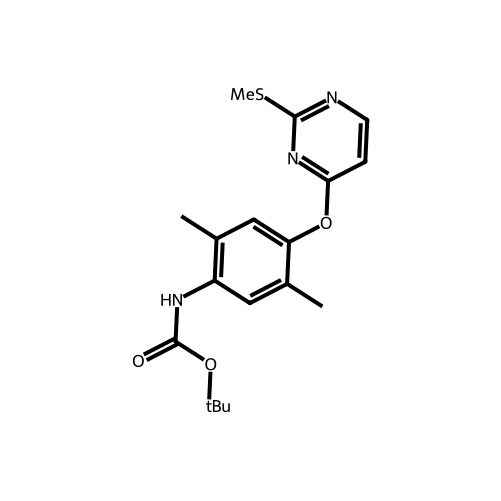 CSc1nccc(Oc2cc(C)c(NC(=O)OC(C)(C)C)cc2C)n1